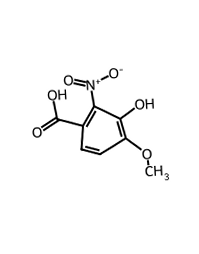 COc1ccc(C(=O)O)c([N+](=O)[O-])c1O